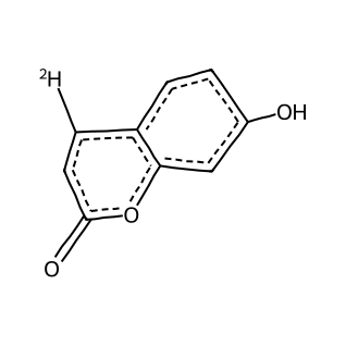 [2H]c1cc(=O)oc2cc(O)ccc12